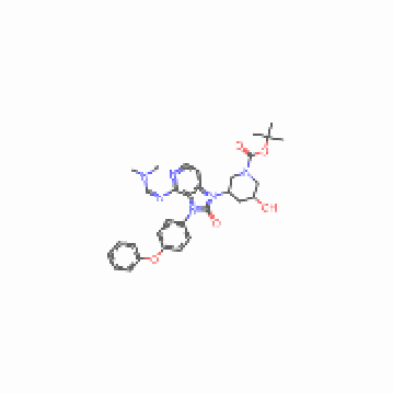 CN(C)/C=N\c1nccc2c1n(-c1ccc(Oc3ccccc3)cc1)c(=O)n2[C@@H]1C[C@H](O)CN(C(=O)OC(C)(C)C)C1